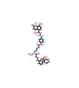 CN(CCCCC(=O)Nc1ccc(CNCC(O)c2ccc(O)c3[nH]c(=O)ccc23)cc1)C(=O)CCCc1cccc(C2(C(=O)O)CCCCC2)c1